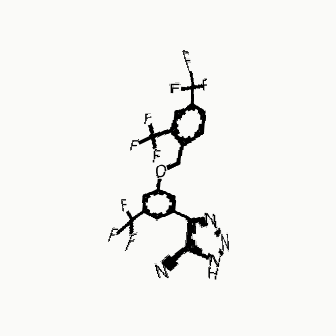 N#Cc1[nH]nnc1-c1cc(OCc2ccc(C(F)(F)F)cc2C(F)(F)F)cc(C(F)(F)F)c1